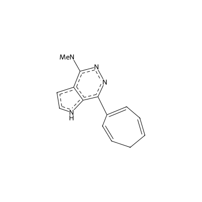 CNc1nnc(C2=CC=CCC=C2)c2[nH]ccc12